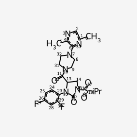 Cc1cnc(C)c(N2CCN(C(=O)C3CN(S(=O)(=O)C(C)C)C(=O)N3c3ccc(F)cc3F)CC2)n1